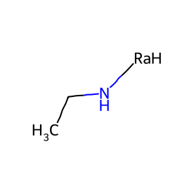 CC[NH][RaH]